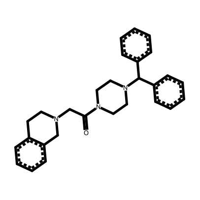 O=C(CN1CCc2ccccc2C1)N1CCN(C(c2ccccc2)c2ccccc2)CC1